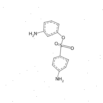 Nc1ccc(S(=O)(=O)Oc2cccc(N)c2)cc1